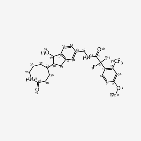 CC(C)Oc1ccc(C(F)(F)C(=O)NCc2ccc3c(c2)CC(C2CCCNC(=O)CC2)C3O)c(C(F)(F)F)c1